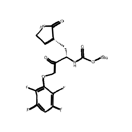 CC(C)(C)OC(=O)N[C@@H](C[C@@H]1CCNC1=O)C(=O)COc1c(F)c(F)cc(F)c1F